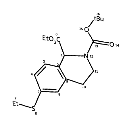 CCOC(=O)C1c2ccc(SCC)cc2CCN1C(=O)OC(C)(C)C